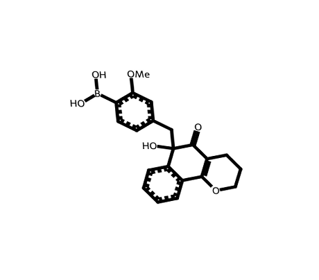 COc1cc(CC2(O)C(=O)C3=C(OCCC3)c3ccccc32)ccc1B(O)O